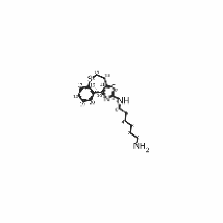 NCCCCCCNc1nc2c(s1)CCSc1ccccc1-2